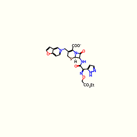 CCOC(=O)CO/N=C(/C(=O)NC1C(=O)N2C(C(=O)[O-])=C(C[n+]3ccc4occc4c3)CS[C@H]12)c1ccn[nH]1